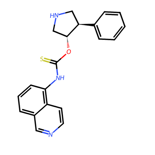 S=C(Nc1cccc2cnccc12)O[C@@H]1CNC[C@H]1c1ccccc1